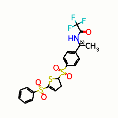 C[C@H](NC(=O)C(F)(F)F)c1ccc(S(=O)(=O)C2CC=C(S(=O)(=O)c3ccccc3)S2)cc1